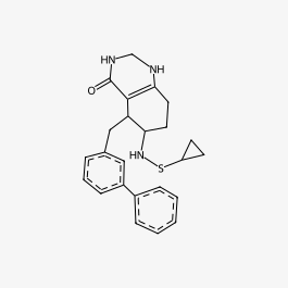 O=C1NCNC2=C1C(Cc1cccc(-c3ccccc3)c1)C(NSC1CC1)CC2